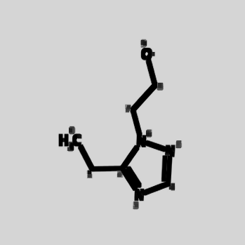 CCc1ncnn1CC[O]